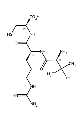 CC(C)(S)[C@H](N)C(=O)N[C@@H](CCCNC(=N)N)C(=O)N[C@@H](CS)C(=O)O